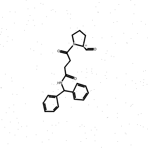 O=C[C@@H]1CCCN1C(=O)CCC(=O)NC(c1ccccc1)c1ccccc1